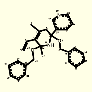 C=CC1=C(C)CC(OCc2ccccc2)(c2cccnc2)NC1(C)OCc1ccccc1